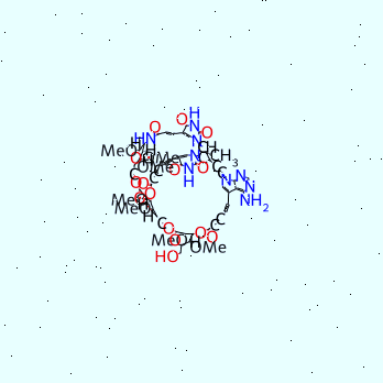 COC1C2OCC3OC4OCC5O[C@H](OC)C(NC(=O)/C=C/c6cn(c(=O)[nH]c6=O)C[C@@H](C)C(CCn6cc(c7c(N)ncnc76)C#CCCC(=O)O[C@H]1[C@H](OC)C(CO)O2)Cn1cc(c(=O)[nH]c1=O)C#CCCC(=O)O[C@H](C4OC)[C@@H]3OC)[C@@H](OC)[C@@H]5OC